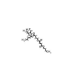 CCCCOC(=O)C=CC(=O)OCCCC(=O)O[Si](CCCC)(CCCC)CCCC